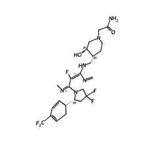 C=N/C(NC[C@H]1CCN(CC(N)=O)C[C@@H]1O)=C(F)\C(=N/C)N1CC(F)(F)C[C@@H]1C1C=CC(C(F)(F)F)=CC1